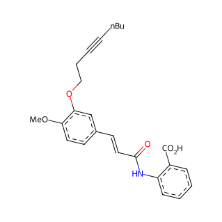 CCCCC#CCCOc1cc(/C=C/C(=O)Nc2ccccc2C(=O)O)ccc1OC